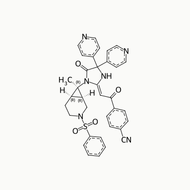 C[C@@]1(N2C(=O)C(c3ccncc3)(c3ccncc3)NC2=CC(=O)c2ccc(C#N)cc2)[C@@H]2CCN(S(=O)(=O)c3ccccc3)C[C@@H]21